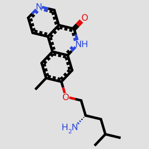 Cc1cc2c(cc1OC[C@@H](N)CC(C)C)[nH]c(=O)c1cnccc12